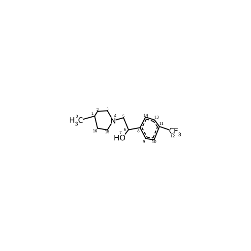 CC1CCN(CC(O)c2ccc(C(F)(F)F)cc2)CC1